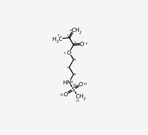 C=C(C)C(=O)OCCCNS(C)(=O)=O